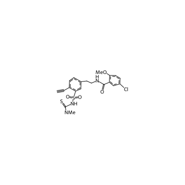 C#Cc1ccc(CCNC(=O)c2cc(Cl)ccc2OC)cc1S(=O)(=O)NC(=S)NC